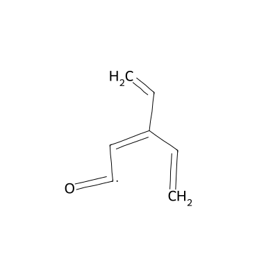 C=CC(C=C)=C[C]=O